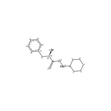 O=C(ONC1CCCCC1)[C@H](Br)Cc1ccccc1